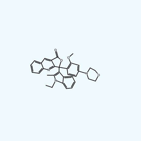 CCn1c(C)c(C2(c3ccc(N4CCOCC4)cc3OC)OC(=O)c3cc4ccccc4nc32)c2ccccc21